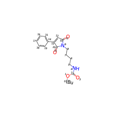 CC(C)(C)OC(=O)NCCCCN1C(=O)C=C(c2ccccc2)C1=O